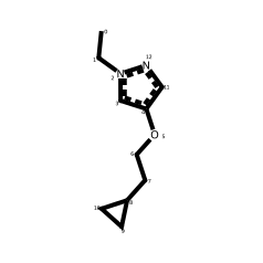 CCn1cc(OCCC2CC2)cn1